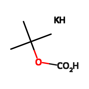 CC(C)(C)OC(=O)O.[KH]